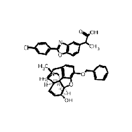 CC(C(=O)O)c1ccc2oc(-c3ccc(Cl)cc3)nc2c1.CN1CC[C@]23c4c5ccc(OCc6ccccc6)c4O[C@H]2[C@@H](O)C=C[C@H]3[C@H]1C5